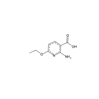 CCOc1ccc(C(=O)O)c(N)n1